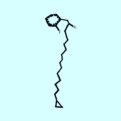 CC(=O)C(CCCCCCCCCCCCCC1CC1)Cc1ccccc1F